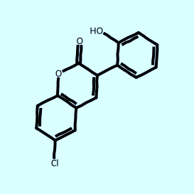 O=c1oc2ccc(Cl)cc2cc1-c1ccccc1O